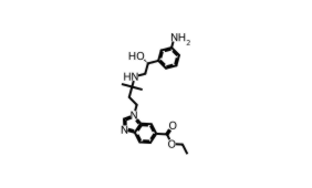 CCOC(=O)c1ccc2ncn(CCC(C)(C)NC[C@H](O)c3cccc(N)c3)c2c1